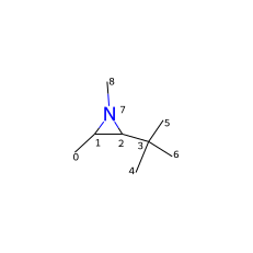 CC1C(C(C)(C)C)N1C